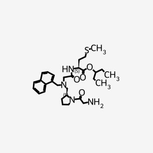 CCC(CC)OC(=O)[C@H](CCSC)NC(=O)CN(Cc1cccc2ccccc12)C[C@@H]1CCCN1C(=O)CN